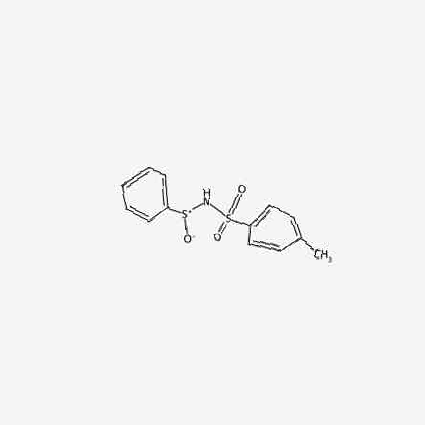 Cc1ccc(S(=O)(=O)N[S+]([O-])c2ccccc2)cc1